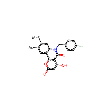 CSc1cc2c(cc1C(C)=O)c1oc(=O)cc(O)c1c(=O)n2Cc1ccc(F)cc1